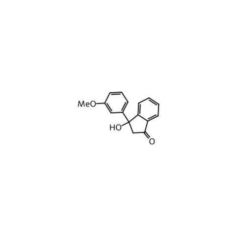 COc1cccc(C2(O)CC(=O)c3ccccc32)c1